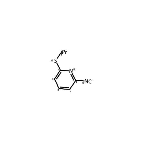 [C-]#[N+]c1cccc(SC(C)C)n1